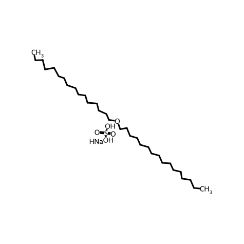 CCCCCCCCCCCCCCCCOCCCCCCCCCCCCCCCC.O=S(=O)(O)O.[NaH]